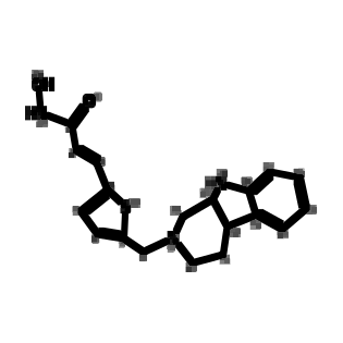 O=C(/C=C/c1ccc(CN2CCC3c4ccccc4NC3C2)s1)NO